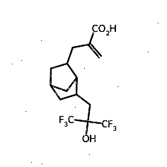 C=C(CC1CC2CC(CC(O)(C(F)(F)F)C(F)(F)F)C1C2)C(=O)O